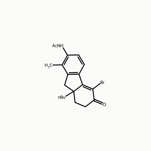 CCCCC12CCC(=O)C(Br)=C1c1ccc(NC(C)=O)c(C)c1C2